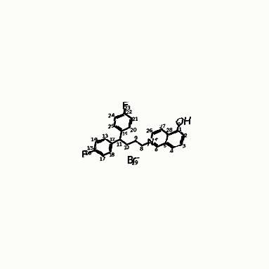 Oc1cccc2c[n+](CCCC(c3ccc(F)cc3)c3ccc(F)cc3)ccc12.[Br-]